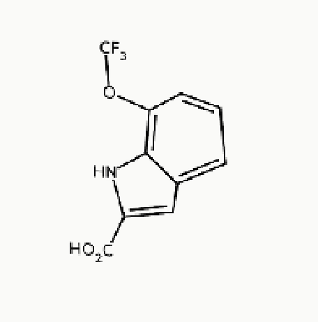 O=C(O)c1cc2cccc(OC(F)(F)F)c2[nH]1